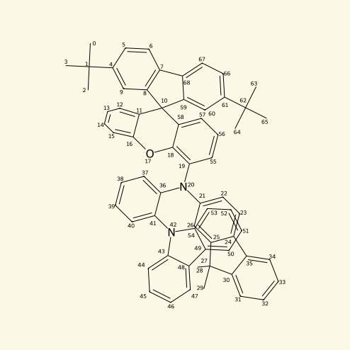 CC(C)(C)c1ccc2c(c1)C1(c3ccccc3Oc3c(N(c4ccc5c(c4)C(C)(C)c4ccccc4-5)c4ccccc4-n4c5ccccc5c5ccccc54)cccc31)c1cc(C(C)(C)C)ccc1-2